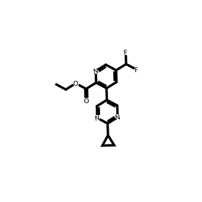 CCOC(=O)c1ncc(C(F)F)cc1-c1cnc(C2CC2)nc1